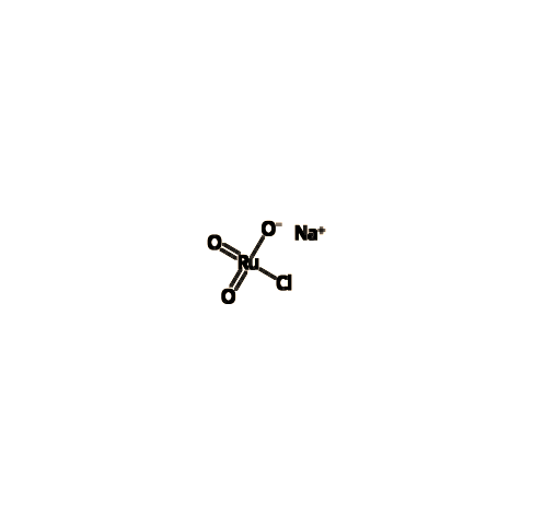 [Na+].[O]=[Ru](=[O])([O-])[Cl]